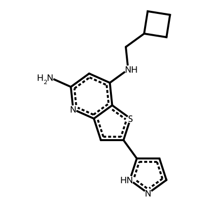 Nc1cc(NCC2CCC2)c2sc(-c3ccn[nH]3)cc2n1